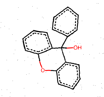 OC1(c2ccccc2)c2ccccc2Oc2ccccc21